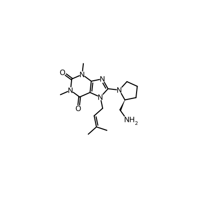 CC(C)=CCn1c(N2CCC[C@H]2CN)nc2c1c(=O)n(C)c(=O)n2C